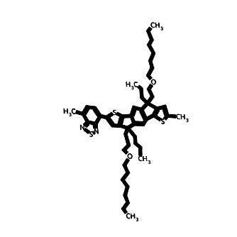 CCCCCCCCOCCCC1(CCCC)c2cc3c(cc2-c2sc(-c4ccc(C)c5nsnc45)cc21)C(CCC)(CCOCCCCCCCC)c1cc(C)sc1-3